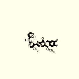 COCC1Cn2cc(-c3nc(Nc4ccn[nH]4)ncc3C)nc2C(=O)N1Cc1ccc(F)c(F)c1